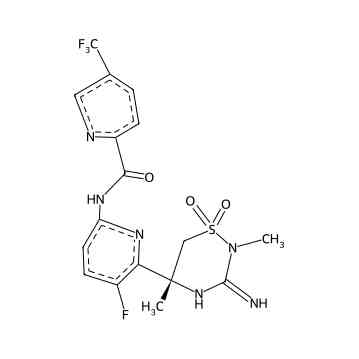 CN1C(=N)N[C@](C)(c2nc(NC(=O)c3ccc(C(F)(F)F)cn3)ccc2F)CS1(=O)=O